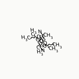 CCCCC(CC)C(=O)Oc1c2c(c(OC(=O)C(CC)CCCC)c3c1SC(=C(C)C#N)S3)SC(=C(C)C#N)S2